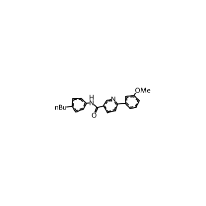 CCCCc1ccc(NC(=O)c2ccc(-c3cccc(OC)c3)nc2)cc1